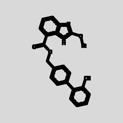 CCOc1nc2cccc(C(=O)OCc3ccc(-c4ccccc4C#N)cc3)c2[nH]1